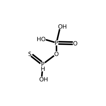 O=P(O)(O)O[PH](O)=S